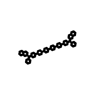 C1=CC(c2ccc(N(c3ccccc3)c3ccc4ccccc4c3)cc2)CCC1c1ccc(-c2ccc(-c3ccc(-c4ccc(N(c5ccccc5)c5ccc6ccccc6c5)cc4)cc3)cc2)cc1